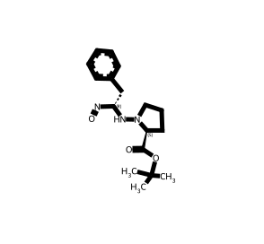 CC(C)(C)OC(=O)[C@@H]1CCCN1N[C@@H](Cc1ccccc1)N=O